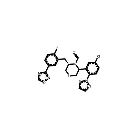 O=CN1C(c2cc(Cl)ccc2-n2nccn2)COC[C@H]1Cc1cc(-c2ncon2)ccc1F